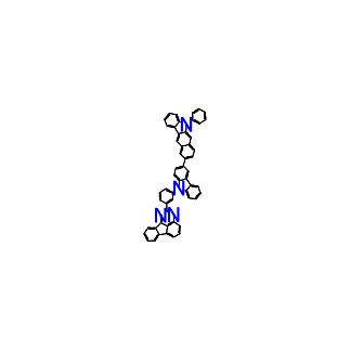 c1ccc(-n2c3ccccc3c3cc4cc(-c5ccc6c(c5)c5ccccc5n6-c5cccc(-c6nc7c8c(cccc8n6)-c6ccccc6-7)c5)ccc4cc32)cc1